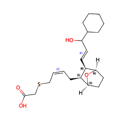 O=C(O)CSC/C=C\C[C@H]1[C@@H](/C=C/C(O)C2CCCCC2)[C@H]2CC[C@@H]1O2